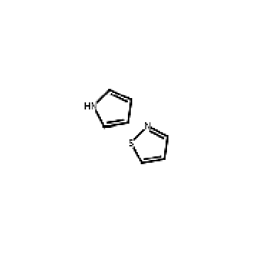 c1cc[nH]c1.c1cnsc1